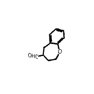 O=CC1CCOc2ccccc2C1